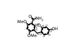 COc1cc(OC)c(C(N)=O)cc1Cc1ccc(O)cc1O